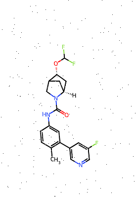 Cc1ccc(NC(=O)N2CC3C[C@H]2C[C@H]3OC(F)F)cc1-c1cncc(F)c1